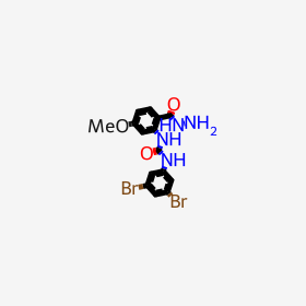 COc1ccc(C(=O)NN)c(NC(=O)Nc2cc(Br)cc(Br)c2)c1